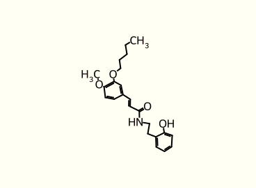 CCCCCOc1cc(/C=C/C(=O)NCCc2ccccc2O)ccc1OC